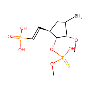 BC1C[C@H](/C=C/P(=O)(O)O)[C@@H](OP(O)(=S)OC)[C@H]1OC